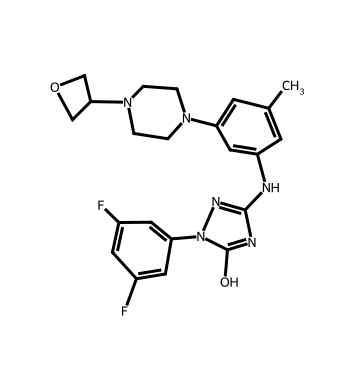 Cc1cc(Nc2nc(O)n(-c3cc(F)cc(F)c3)n2)cc(N2CCN(C3COC3)CC2)c1